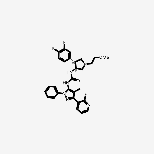 COCCN1C[C@@H](NC(=O)Nc2c(C)c(-c3cccnc3F)nn2-c2ccccc2)[C@H](c2ccc(F)c(F)c2)C1